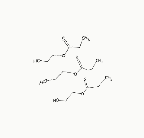 CCC(=S)OCCO.CCC(=S)OCCO.CCC(=S)OCCO